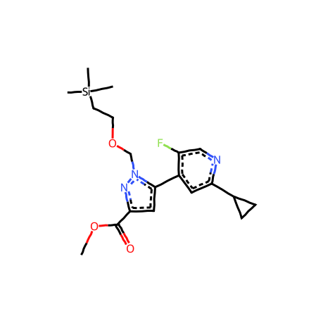 COC(=O)c1cc(-c2cc(C3CC3)ncc2F)n(COCC[Si](C)(C)C)n1